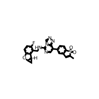 CC1=Cc2cc(-c3cnc(NCc4c(F)ccc5c4[C@H]4CC4O5)n4cnnc34)ccc2S1(=O)=O